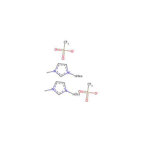 CCCCCCCCn1cc[n+](C)c1.CCCCCC[n+]1ccn(C)c1.O=S(=O)([O-])C(F)(F)F.O=S(=O)([O-])C(F)(F)F